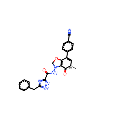 C[C@H]1C=C(c2ccc(C#N)cc2)C2=C(C1=O)N(NC(=O)c1n[nH]c(Cc3ccccc3)n1)CO2